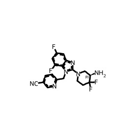 N#Cc1ccc(Cn2c(N3CCC(F)(F)[C@H](N)C3)nc3cc(F)cc(F)c32)nc1